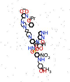 CC(C)Oc1ccccc1[C@H]1CN(Cc2cnc3c(c2)OCCO3)CCN1C1CC2(CCN(c3ccc(C(=O)NS(=O)(=O)c4ccc(NCC5CCC(C)(O)CC5)c([N+](=O)[O-])c4)c(N4c5cc6cc[nH]c6nc5O[C@H]5COCC[C@@H]54)c3)CC2)C1